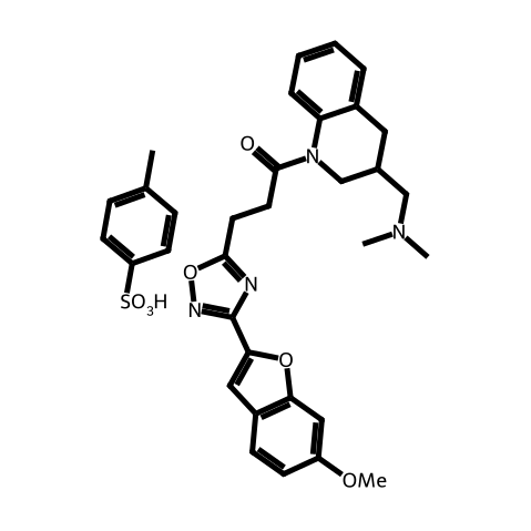 COc1ccc2cc(-c3noc(CCC(=O)N4CC(CN(C)C)Cc5ccccc54)n3)oc2c1.Cc1ccc(S(=O)(=O)O)cc1